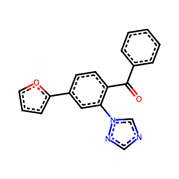 O=C(c1ccccc1)c1ccc(-c2ccco2)cc1-n1cncn1